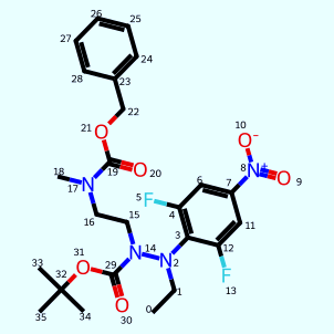 CCN(c1c(F)cc([N+](=O)[O-])cc1F)N(CCN(C)C(=O)OCc1ccccc1)C(=O)OC(C)(C)C